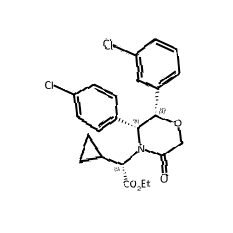 CCOC(=O)[C@H](C1CC1)N1C(=O)CO[C@@H](c2cccc(Cl)c2)[C@H]1c1ccc(Cl)cc1